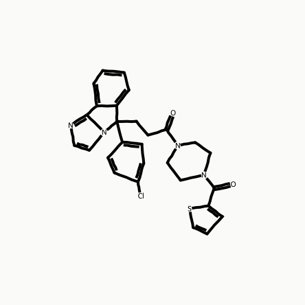 O=C(CCC1(c2ccc(Cl)cc2)c2ccccc2-c2nccn21)N1CCN(C(=O)c2cccs2)CC1